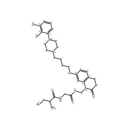 CC(C)CC(N)C(=O)NCC(=O)OCN1C(=O)CCc2ccc(OCCCCN3CCN(c4cccc(Cl)c4Cl)CC3)cc21